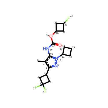 Cc1c(C2CC(F)(F)C2)nn(C2CCC2)c1NC(=O)OC1CC(F)C1